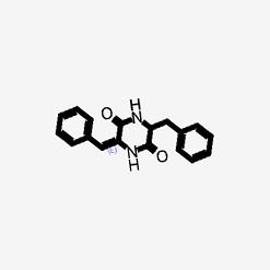 O=C1NC(Cc2ccccc2)C(=O)N/C1=C/c1ccccc1